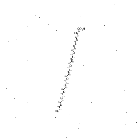 O=C(O)CNCCOCCOCCOCCOCCOCCOCCOCCOCCOCCOCCOCCO